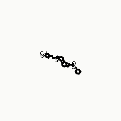 COc1ccc(CCc2cc3ccc4c(c3s2)-c2ccc3cc(C(=O)OCc5ccccc5)sc3c2-4)cc1